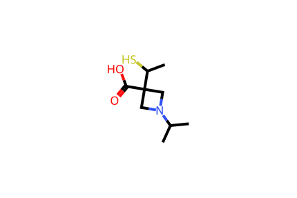 CC(C)N1CC(C(=O)O)(C(C)S)C1